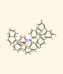 Cc1ccc([Si](c2ccc(C)cc2)(c2ccc(C)cc2)c2cccc(N(c3ccc(-c4cccc5ccccc45)cc3)c3cccc4ccc5c6ccccc6oc5c34)c2)cc1